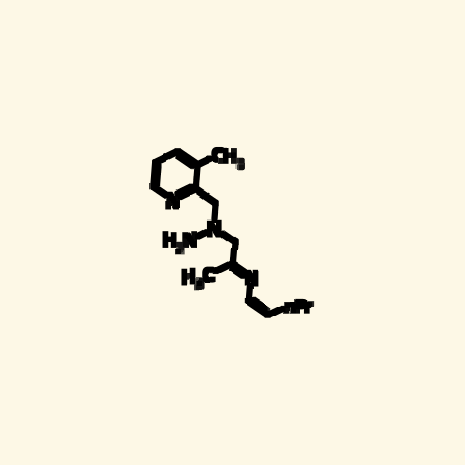 CCC/C=C\N=C(/C)CN(N)Cc1ncccc1C